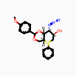 COc1ccc(C2OC[C@@H]3[C@H](O2)[C@H](N=[N+]=[N-])[C@@H](O)C[SH]3c2ccccc2)cc1